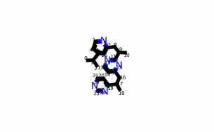 CC(C)c1ccnc(CC(C)c2nccc(CC(C)c3ccncn3)n2)c1